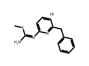 CSC(N)=Nc1cccc(Cc2ccccc2)n1.I